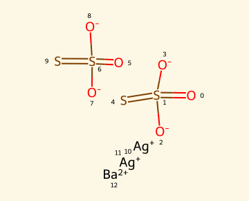 O=S([O-])([O-])=S.O=S([O-])([O-])=S.[Ag+].[Ag+].[Ba+2]